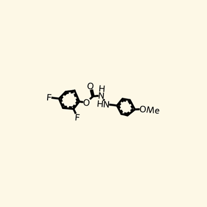 COc1ccc(NNC(=O)Oc2ccc(F)cc2F)cc1